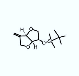 C=C1CO[C@H]2[C@@H]1OC[C@H]2O[Si](C)(C)C(C)(C)C